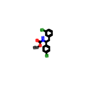 CC(C)(C)OC(=O)NC(Cc1cccc(Cl)c1)c1ccc(Cl)cc1